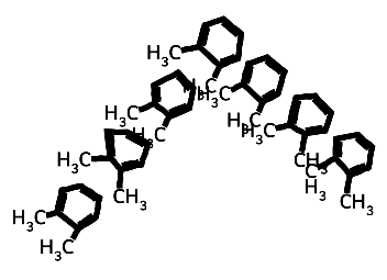 Cc1ccccc1C.Cc1ccccc1C.Cc1ccccc1C.Cc1ccccc1C.Cc1ccccc1C.Cc1ccccc1C.Cc1ccccc1C